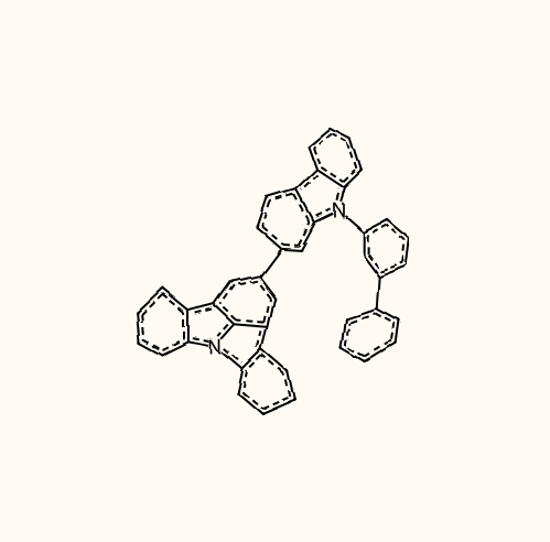 c1ccc(-c2cccc(-n3c4ccccc4c4ccc(-c5cc6c7ccccc7n7c8ccccc8c(c5)c67)cc43)c2)cc1